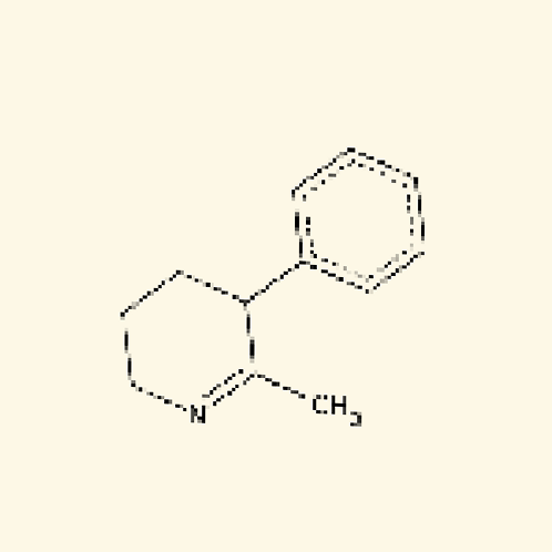 CC1=NCCCC1c1ccccc1